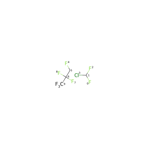 FC(F)Cl.FCC(F)(F)C(F)(F)F